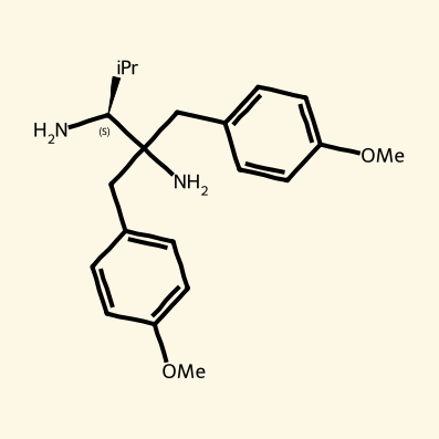 COc1ccc(CC(N)(Cc2ccc(OC)cc2)[C@@H](N)C(C)C)cc1